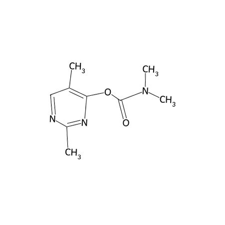 Cc1ncc(C)c(OC(=O)N(C)C)n1